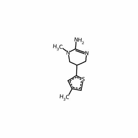 Cc1csc(C2CN=C(N)N(C)C2)c1